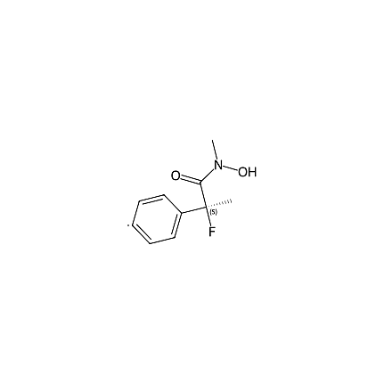 CN(O)C(=O)[C@@](C)(F)c1cc[c]cc1